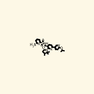 CC(C)Oc1ccc(-c2ccc(C(=O)NS(=O)(=O)c3cccc(N)n3)c(N3CCC(C)C3(C)C)n2)cn1